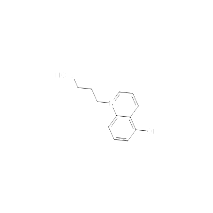 O=S(=O)(O)CCC[n+]1cccc2c(O)cccc21